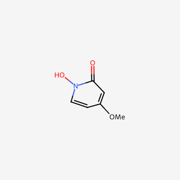 COc1ccn(O)c(=O)c1